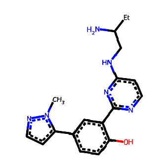 CCC(N)CNc1ccnc(-c2cc(-c3ccnn3C)ccc2O)n1